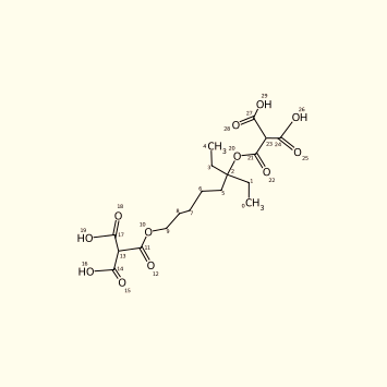 CCC(CC)(CCCCCOC(=O)C(C(=O)O)C(=O)O)OC(=O)C(C(=O)O)C(=O)O